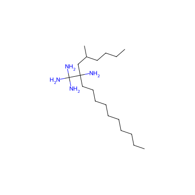 CCCCCCCCCCC(N)(CC(C)CCCC)C(N)(N)N